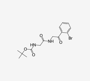 CC(C)(C)OC(=O)NCC(=O)NCC(=O)c1ccccc1Br